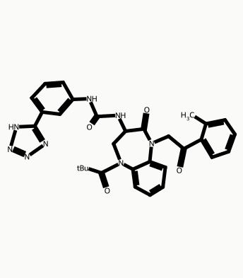 Cc1ccccc1C(=O)CN1C(=O)C(NC(=O)Nc2cccc(-c3nnn[nH]3)c2)CN(C(=O)C(C)(C)C)c2ccccc21